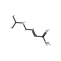 CC(C)OCC=CC(N)=O